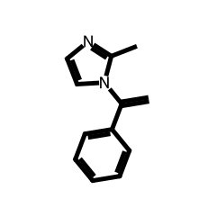 C=C(c1ccccc1)n1ccnc1C